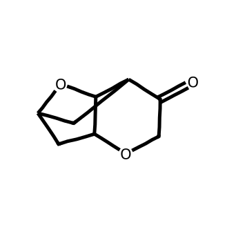 O=C1COC2CC3CC1C2O3